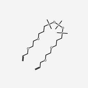 C=CCOCCOCCC[Si](C)(C)O[Si](C)(C)O[Si](C)(C)CCCOCCOCC=C